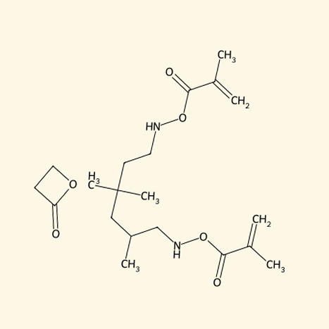 C=C(C)C(=O)ONCCC(C)(C)CC(C)CNOC(=O)C(=C)C.O=C1CCO1